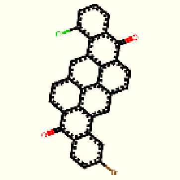 O=c1c2ccc(Br)cc2c2cc3ccc4c(=O)c5cccc(Cl)c5c5cc6ccc1c2c6c3c45